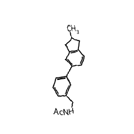 CC(=O)NCc1cccc(-c2ccc3c(c2)CC(C)C3)c1